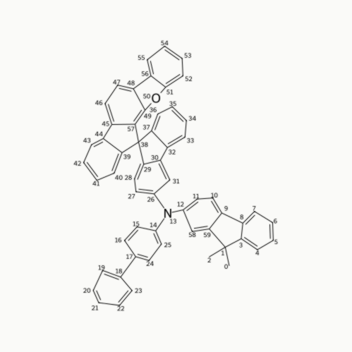 CC1(C)c2ccccc2-c2ccc(N(c3ccc(-c4ccccc4)cc3)c3ccc4c(c3)-c3ccccc3C43c4ccccc4-c4ccc5c(oc6ccccc65)c43)cc21